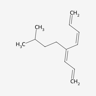 C=C/C=C\C(=C/C=C)CCC(C)C